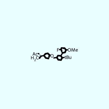 C=C[C@H](CC(C)=O)c1ccc(OCc2ccc(C(C)(C)C)c(-c3cc(OC)ccc3F)c2)cc1